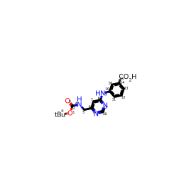 CC(C)(C)OC(=O)NCc1cc(Nc2cccc(C(=O)O)c2)ncn1